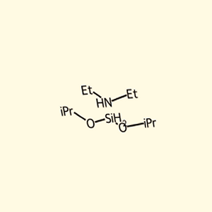 CC(C)O[SiH2]OC(C)C.CCNCC